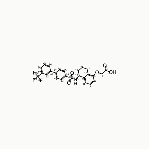 O=C(O)COc1cccc2c1CCCC2NS(=O)(=O)c1ccc(-c2cccc(C(F)(F)F)c2)cc1